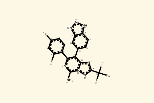 Nc1nc(-c2ccc(F)cc2F)c(-c2ccc3[nH]nnc3c2)c2nc(C(F)(F)F)nn12